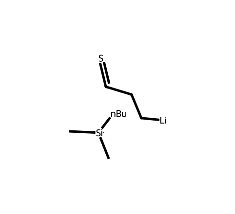 CCCC[Si](C)C.[Li][CH2]CC=S